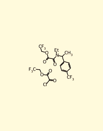 CCN(C(=O)C(=O)OCC(F)(F)F)C(C)c1ccc(C(F)(F)F)cc1.O=C(Cl)C(=O)OCC(F)(F)F